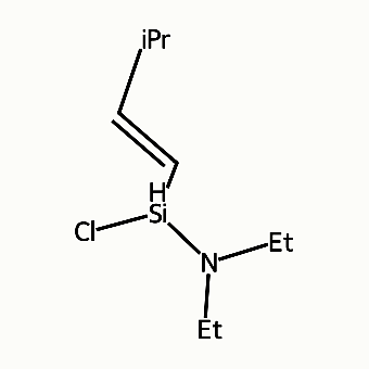 CCN(CC)[SiH](Cl)C=CC(C)C